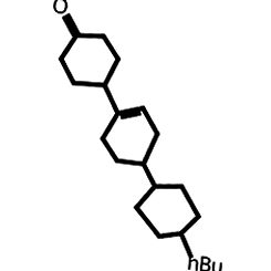 CCCCC1CCC(C2CC=C(C3CCC(=O)CC3)CC2)CC1